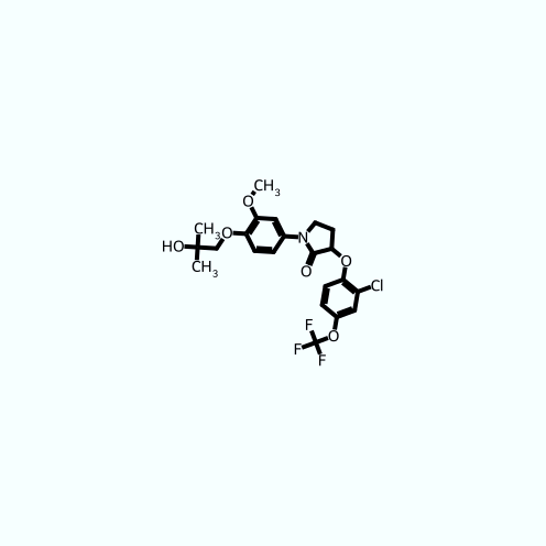 COc1cc(N2CCC(Oc3ccc(OC(F)(F)F)cc3Cl)C2=O)ccc1OCC(C)(C)O